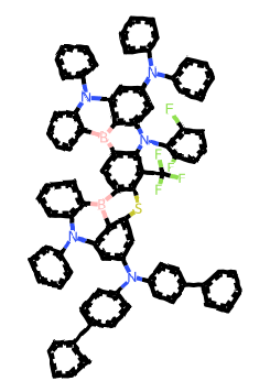 Fc1cccc(F)c1N1c2cc(N(c3ccccc3)c3ccccc3)cc3c2B(c2ccccc2N3c2ccccc2)c2cc3c(c(C(F)(F)F)c21)Sc1cc(N(c2ccc(-c4ccccc4)cc2)c2ccc(-c4ccccc4)cc2)cc2c1B3c1ccccc1N2c1ccccc1